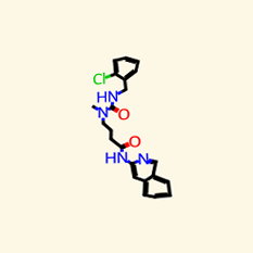 CN(CCCC(=O)Nc1cc2ccccc2cn1)C(=O)NCc1ccccc1Cl